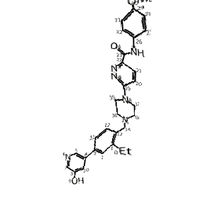 CCc1cc(-c2cncc(O)c2)ccc1CN1CCN(c2ccc(C(=O)Nc3ccc(OC)cc3)nn2)CC1